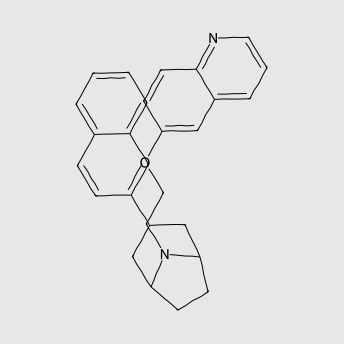 c1ccc2cc(C3CC4CCC(C3)N4CCOc3ccc4ncccc4c3)ccc2c1